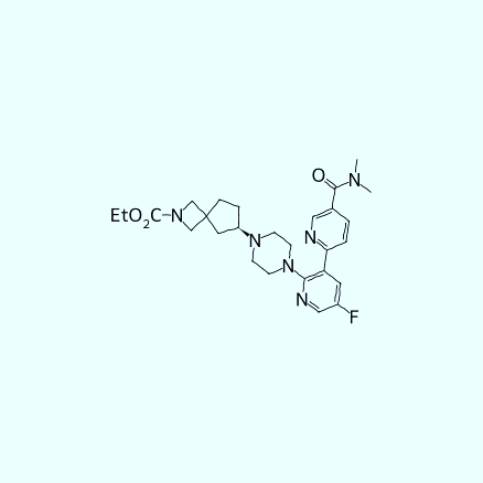 CCOC(=O)N1CC2(CC[C@@H](N3CCN(c4ncc(F)cc4-c4ccc(C(=O)N(C)C)cn4)CC3)C2)C1